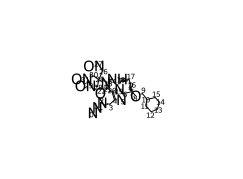 [N-]=[N+]=NCc1nc2c(OCC3CCCCC3)cccn2c1C(=O)N(N)C(CN=O)(CN=O)CN=O